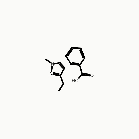 CCc1ccn(C)n1.O=C(O)c1ccccc1